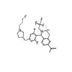 C=C(C)c1ccc2c(c1)C[C@@H](C)N(CC(F)(F)F)C2c1c(F)cc(CC2CCN(CCCF)C2)cc1F